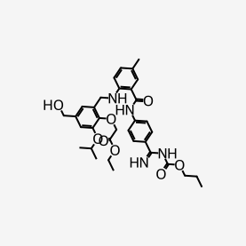 CCCOC(=O)NC(=N)c1ccc(NC(=O)c2cc(C)ccc2NCc2cc(CO)cc(OC(C)C)c2OCC(=O)OCC)cc1